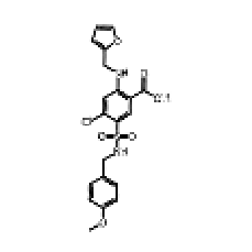 COc1ccc(CNS(=O)(=O)c2cc(C(=O)O)c(NCc3ccco3)cc2Cl)cc1